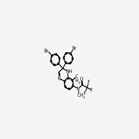 Cc1c(N(C)C(=O)C(F)(F)F)ccc2c1NC(c1ccc(Br)cc1)(c1ccc(Br)cc1)C=N2